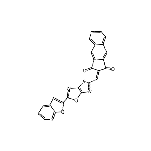 O=C1C(=Cc2nc3oc(-c4cc5ccccc5o4)nc3s2)C(=O)c2cc3ccccc3cc21